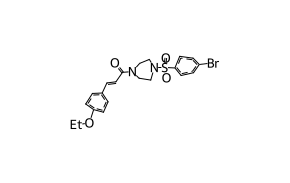 CCOc1ccc(C=CC(=O)N2CCN(S(=O)(=O)c3ccc(Br)cc3)CC2)cc1